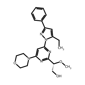 CCc1cc(-c2ccccc2)nn1-c1cc(N2CCOCC2)nc([C@@H](CO)OC)n1